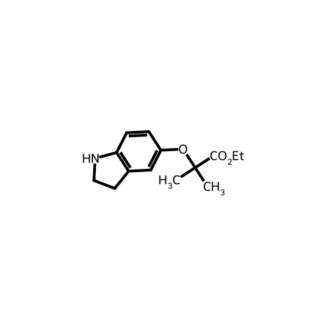 CCOC(=O)C(C)(C)Oc1ccc2c(c1)CCN2